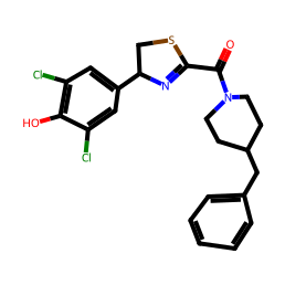 O=C(C1=NC(c2cc(Cl)c(O)c(Cl)c2)CS1)N1CCC(Cc2ccccc2)CC1